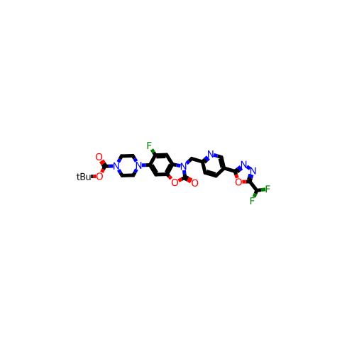 CC(C)(C)OC(=O)N1CCN(c2cc3oc(=O)n(Cc4ccc(-c5nnc(C(F)F)o5)cn4)c3cc2F)CC1